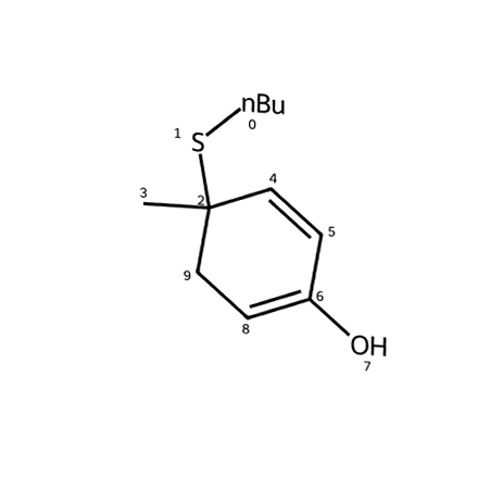 CCCCSC1(C)C=CC(O)=CC1